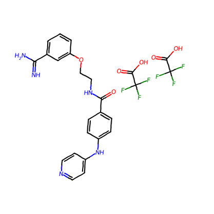 N=C(N)c1cccc(OCCNC(=O)c2ccc(Nc3ccncc3)cc2)c1.O=C(O)C(F)(F)F.O=C(O)C(F)(F)F